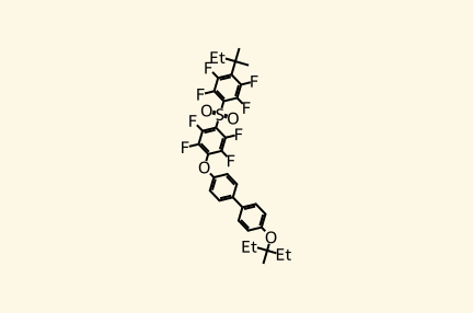 CCC(C)(CC)Oc1ccc(-c2ccc(Oc3c(F)c(F)c(S(=O)(=O)c4c(F)c(F)c(C(C)(C)CC)c(F)c4F)c(F)c3F)cc2)cc1